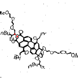 CCCCC(CC)COC(=O)c1ccc2c3c(C(=O)CC(C)C)cc(C(=O)OCCOCCOCCOC)c4c(C(=O)OCC(CC)CCCC)ccc(c5c(C(=O)CC(C)C)cc(C(=O)OCCOCCOCCOC)c1c25)c43